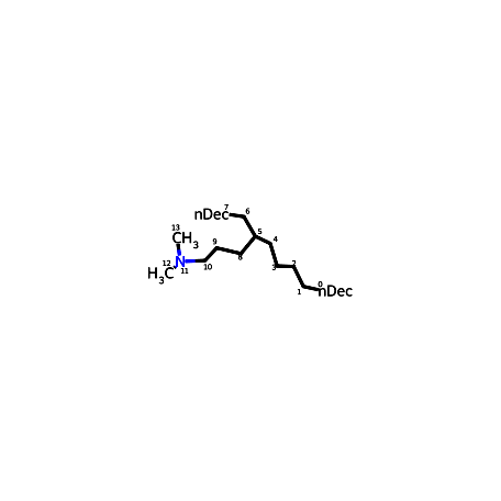 CCCCCCCCCCCCCCC(CCCCCCCCCCC)CCCN(C)C